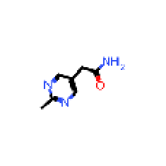 Cc1ncc(CC(N)=O)cn1